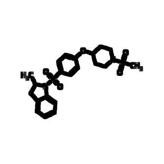 CC1Cc2ccccc2N1S(=O)(=O)c1ccc(OC2CCN(S(C)(=O)=O)CC2)cc1